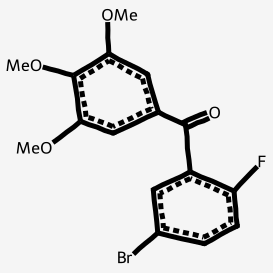 COc1cc(C(=O)c2cc(Br)ccc2F)cc(OC)c1OC